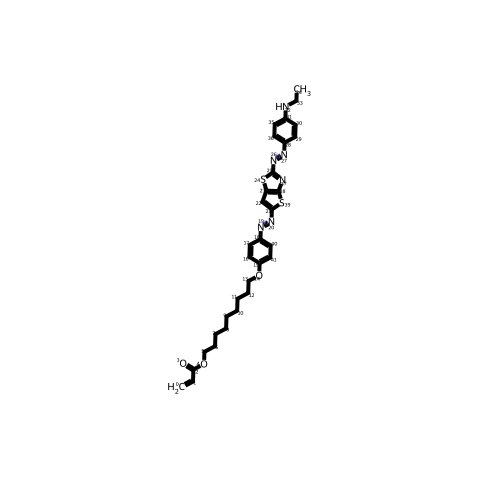 C=CC(=O)OCCCCCCCCCOc1ccc(/N=N/c2cc3sc(/N=N/c4ccc(NCC)cc4)nc3s2)cc1